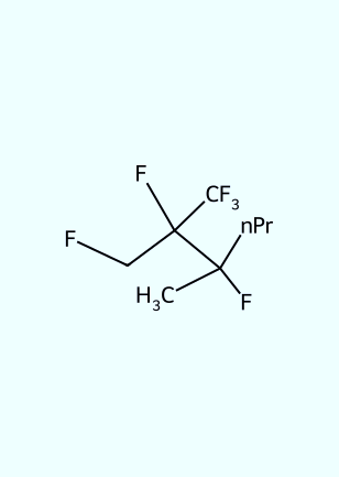 CCCC(C)(F)C(F)(CF)C(F)(F)F